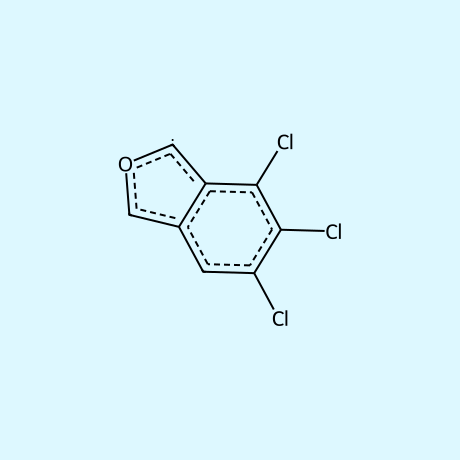 Clc1cc2co[c]c2c(Cl)c1Cl